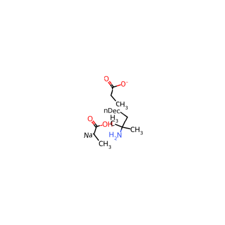 CCC(=O)O.CCC(=O)[O-].CCCCCCCCCCCC(C)(C)N.[Na+]